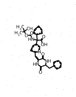 CC(C)(C)OC(=O)NC(C(=O)O)(c1ccccc1)c1ccc(/C=C2/NC(=O)C(Cc3ccccc3)NC2=O)nc1